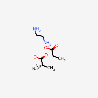 CCC(=O)[O-].CCC(=O)[O-].NCCN.[Na+].[Na+]